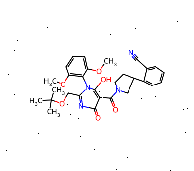 COc1cccc(OC)c1-n1c(COC(C)(C)C)nc(=O)c(C(=O)N2CCC(c3ccccc3C#N)C2)c1O